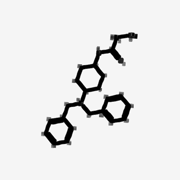 CC(C)(C)NC(=O)OC1CCC(N(Cc2ccccc2)Cc2ccccc2)CC1